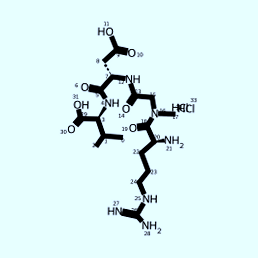 CC(C)[C@H](NC(=O)[C@H](CC(=O)O)NC(=O)CN(C)C(=O)[C@@H](N)CCCNC(=N)N)C(=O)O.Cl.Cl